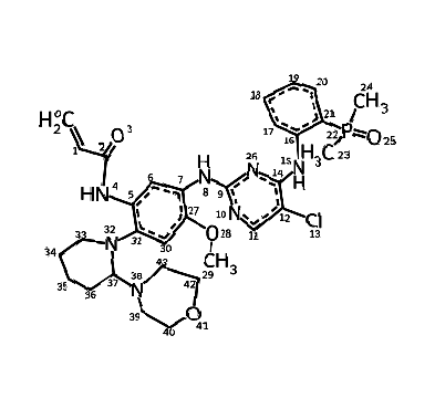 C=CC(=O)Nc1cc(Nc2ncc(Cl)c(Nc3ccccc3P(C)(C)=O)n2)c(OC)cc1N1CCCCC1N1CCOCC1